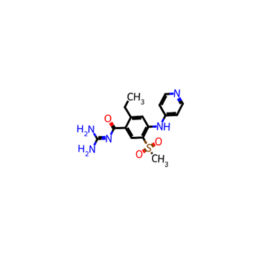 CCc1cc(Nc2ccncc2)c(S(C)(=O)=O)cc1C(=O)N=C(N)N